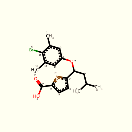 Cc1cc(OC(CC(C)C)c2ccc(C(=O)O)s2)cc(C)c1Br